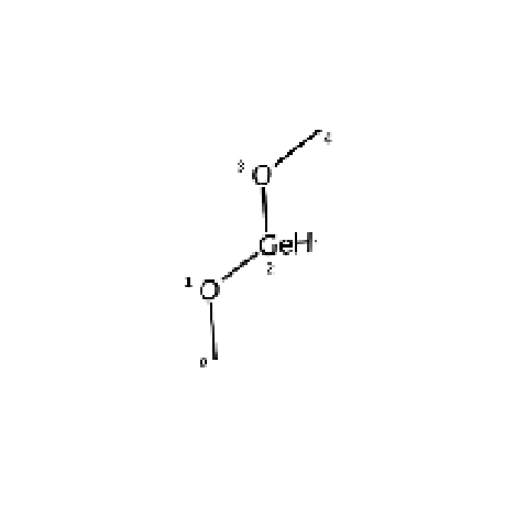 C[O][GeH][O]C